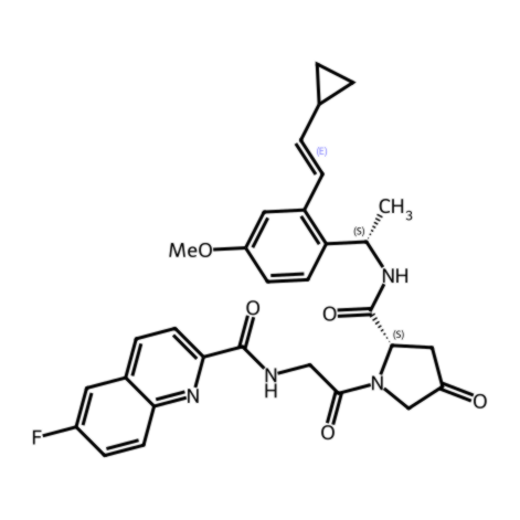 COc1ccc([C@H](C)NC(=O)[C@@H]2CC(=O)CN2C(=O)CNC(=O)c2ccc3cc(F)ccc3n2)c(/C=C/C2CC2)c1